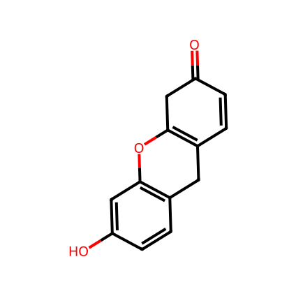 O=C1C=CC2=C(C1)Oc1cc(O)ccc1C2